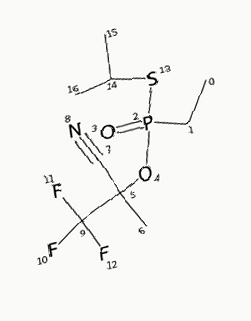 CCP(=O)(OC(C)(C#N)C(F)(F)F)SC(C)C